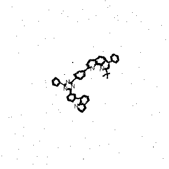 CC(C)(C)c1cc(-c2ccccc2)c2ccc3ccc(-c4ccc(-c5nc(-c6ccccc6)nc(-c6cccc(-c7cccc8cccnc78)c6)n5)cc4)nc3c2n1